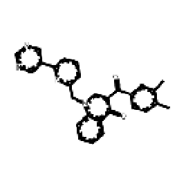 Cc1ccc(C(=O)c2cn(Cc3cccc(-c4cncnc4)n3)c3ccccc3c2=O)cc1C